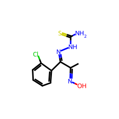 CC(=NO)C(=NNC(N)=S)c1ccccc1Cl